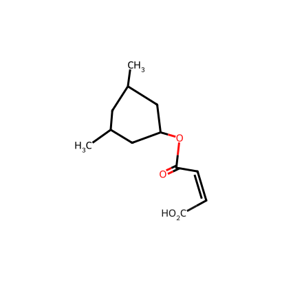 CC1CC(C)CC(OC(=O)/C=C\C(=O)O)C1